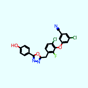 N#Cc1cc(Cl)cc(Oc2c(Cl)ccc(Cc3nnc(-c4ccc(O)cc4)o3)c2F)c1